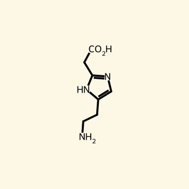 NCCc1cnc(CC(=O)O)[nH]1